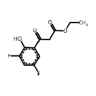 CCOC(=O)CC(=O)c1cc(F)cc(F)c1O